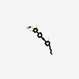 CCCCCc1ccc(C#Cc2ccc(-c3cc(F)c(SC#N)c(F)c3)cc2)c(F)c1